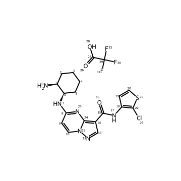 N[C@H]1CCCC[C@H]1Nc1ccn2ncc(C(=O)Nc3ccsc3Cl)c2n1.O=C(O)C(F)(F)F